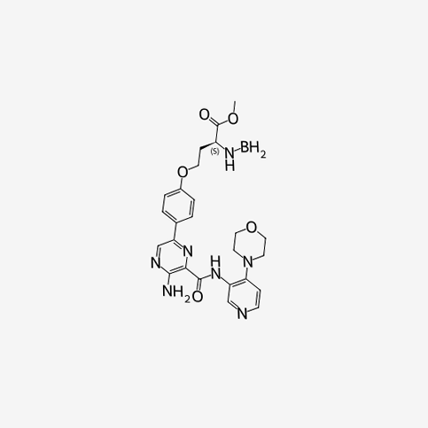 BN[C@@H](CCOc1ccc(-c2cnc(N)c(C(=O)Nc3cnccc3N3CCOCC3)n2)cc1)C(=O)OC